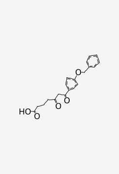 O=C(O)CCCC(=O)CC(=O)c1ccc(OCc2ccccc2)cc1